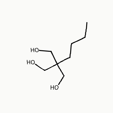 CCCCC(CO)(CO)CO